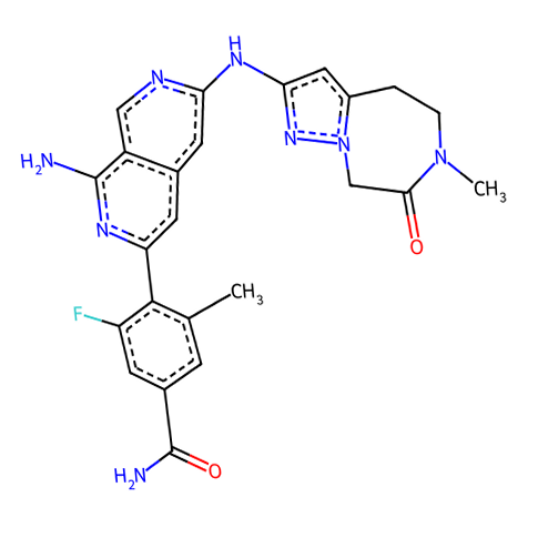 Cc1cc(C(N)=O)cc(F)c1-c1cc2cc(Nc3cc4n(n3)CC(=O)N(C)CC4)ncc2c(N)n1